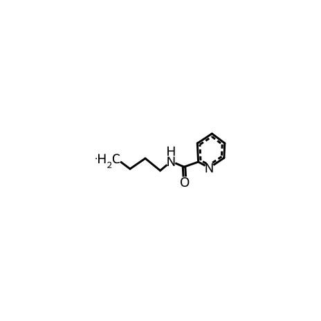 [CH2]CCCNC(=O)c1ccccn1